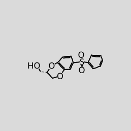 O=S(=O)(c1ccccc1)c1ccc2c(c1)OC[C@H](CO)O2